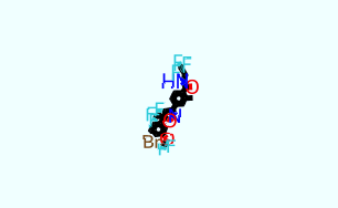 Cc1cc(C2=NOC(c3cccc(OC(F)(F)Br)c3)(C(F)(F)F)C2)ccc1C(=O)NCC(F)(F)F